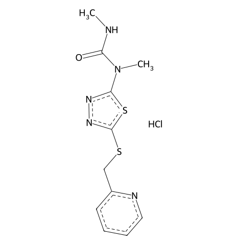 CNC(=O)N(C)c1nnc(SCc2ccccn2)s1.Cl